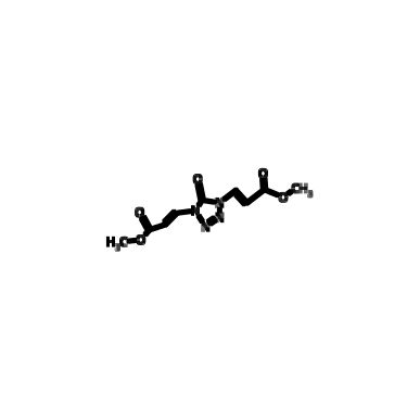 COC(=O)/C=C/n1nnn(/C=C/C(=O)OC)c1=O